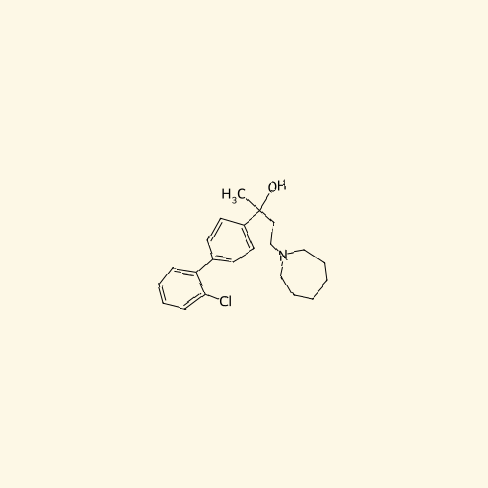 CC(O)(CCN1CCCCCC1)c1ccc(-c2ccccc2Cl)cc1